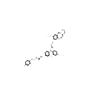 COc1ccc(C(NC(=O)CCOc2cc3c(cc2OC)C(=O)N2CCC[C@H]2C=N3)c2ccc(OCC(=O)CNCc3ccc(C)cc3)cc2)c(OC)c1